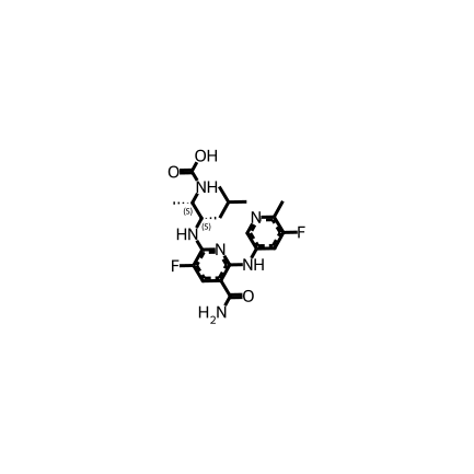 Cc1ncc(Nc2nc(N[C@@H](CC(C)C)[C@H](C)NC(=O)O)c(F)cc2C(N)=O)cc1F